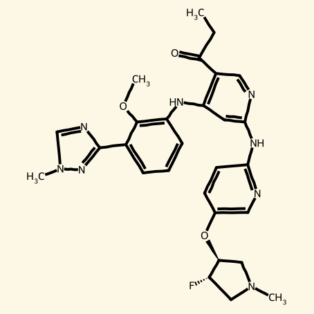 CCC(=O)c1cnc(Nc2ccc(O[C@H]3CN(C)C[C@@H]3F)cn2)cc1Nc1cccc(-c2ncn(C)n2)c1OC